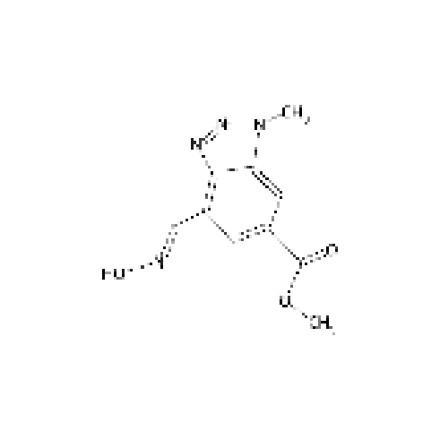 COC(=O)c1cc(C=NO)c2nnn(C)c2c1